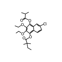 CCOc1c(OCC)c(OC(=O)C(C)(C)CC)c2ccc(Cl)cc2c1OC(=O)C(C)C